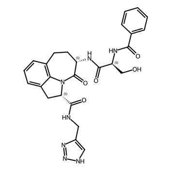 O=C(N[C@@H](CO)C(=O)N[C@H]1CCc2cccc3c2N(C1=O)[C@H](C(=O)NCc1c[nH]nn1)C3)c1ccccc1